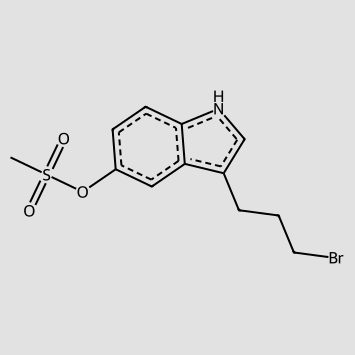 CS(=O)(=O)Oc1ccc2[nH]cc(CCCBr)c2c1